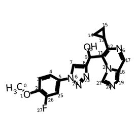 COc1ccc(-n2cc(C(O)c3c(C4CC4)ncc4cncn34)nn2)cc1F